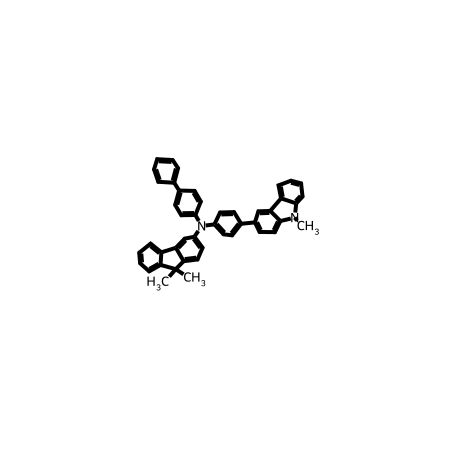 Cn1c2ccccc2c2cc(-c3ccc(N(c4ccc(-c5ccccc5)cc4)c4ccc5c(c4)-c4ccccc4C5(C)C)cc3)ccc21